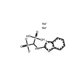 O=P([O-])([O-])C(Nc1nc2ccccc2s1)P(=O)(O)O.[Na+].[Na+]